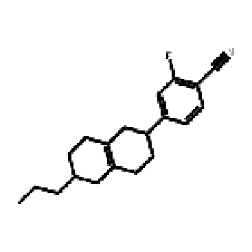 CCCC1CCC2=C(CCC(c3ccc(C#N)c(F)c3)C2)C1